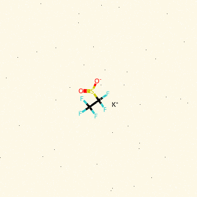 O=S([O-])C(F)(F)C(F)(F)F.[K+]